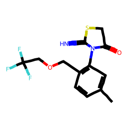 Cc1ccc(COCC(F)(F)F)c(N2C(=N)SCC2=O)c1